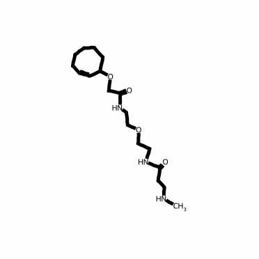 CNCCC(=O)NCCOCCNC(=O)COC1/C=C\CCCCC1